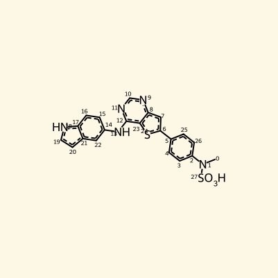 CN(c1ccc(-c2cc3ncnc(Nc4ccc5[nH]ccc5c4)c3s2)cc1)S(=O)(=O)O